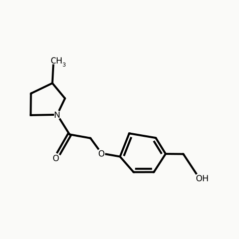 CC1CCN(C(=O)COc2ccc(CO)cc2)C1